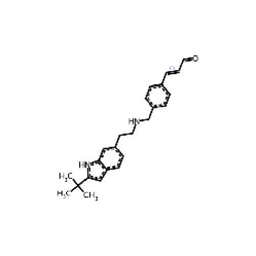 CC(C)(C)c1cc2ccc(CCNCc3ccc(/C=C/C=O)cc3)cc2[nH]1